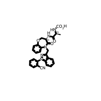 C[C@H](NC(=O)O)C(=O)N[C@H]1COc2ccccc2N(Cc2nn(-c3ccccc3C#N)c3ccccc23)C1=O